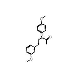 COc1ccc(N(CCc2cccc(OC)c2)C(C)=O)cc1